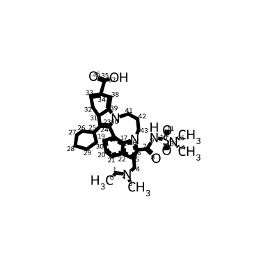 CCN(C)Cc1c(C(=O)NS(=O)(=O)N(C)C)n2c3c(cccc13)C1=C(C3CCCCC3)C3CC=C(C(=O)O)C=C3N1CCC2